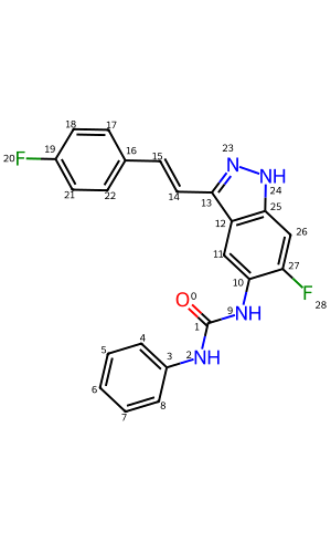 O=C(Nc1ccccc1)Nc1cc2c(C=Cc3ccc(F)cc3)n[nH]c2cc1F